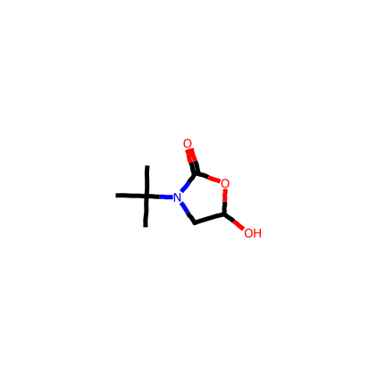 CC(C)(C)N1CC(O)OC1=O